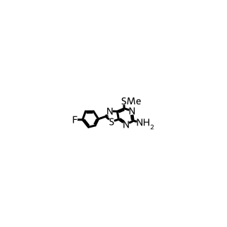 CSc1nc(N)nc2sc(-c3ccc(F)cc3)nc12